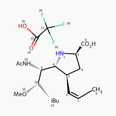 C/C=C\[C@@H]1C[C@H](C(=O)O)N[C@H]1[C@@H](NC(C)=O)[C@@H](OC)[C@@H](C)CC.O=C(O)C(F)(F)F